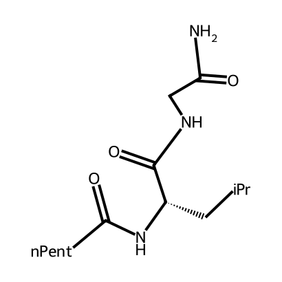 CCCCCC(=O)N[C@@H](CC(C)C)C(=O)NCC(N)=O